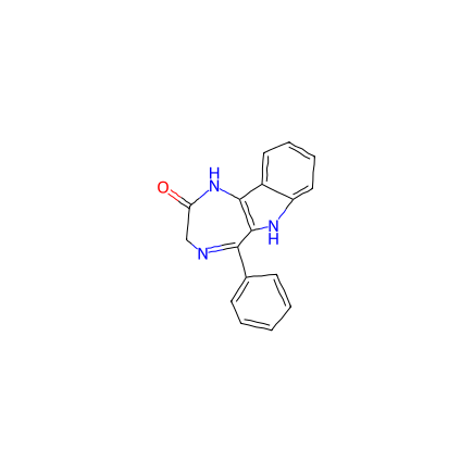 O=C1CN=C(c2ccccc2)c2[nH]c3ccccc3c2N1